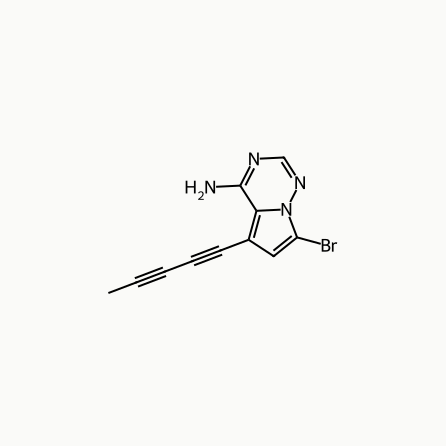 CC#CC#Cc1cc(Br)n2ncnc(N)c12